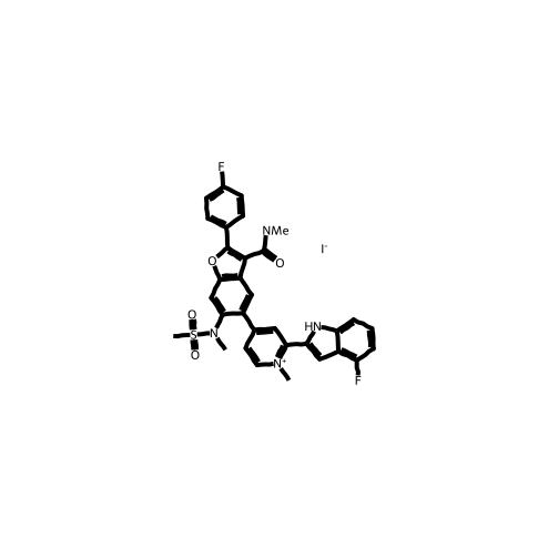 CNC(=O)c1c(-c2ccc(F)cc2)oc2cc(N(C)S(C)(=O)=O)c(-c3cc[n+](C)c(-c4cc5c(F)cccc5[nH]4)c3)cc12.[I-]